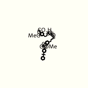 COc1cc(CCC[Si](C)(C)O[Si](C)(C)O[Si](C)(C)CCCc2ccc(OC(=O)Oc3ccc(C(C)(C)c4ccccc4)cc3)c(OC)c2)ccc1OC(=O)O